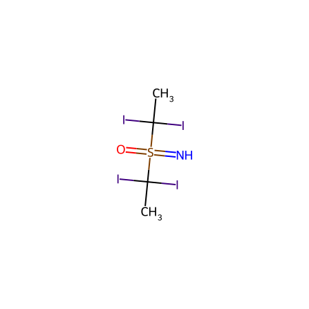 CC(I)(I)S(=N)(=O)C(C)(I)I